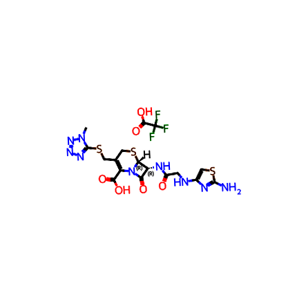 Cn1nnnc1SCC1=C(C(=O)O)N2C(=O)[C@@H](NC(=O)CNc3csc(N)n3)[C@H]2SC1.O=C(O)C(F)(F)F